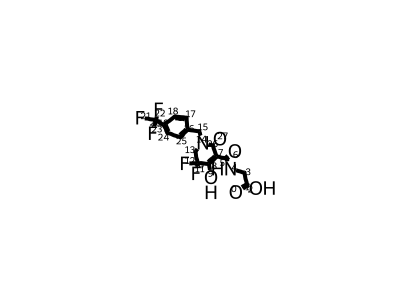 O=C(O)CNC(=O)C1=C(O)C(F)(F)CN(Cc2ccc(C(F)(F)F)cc2)C1=O